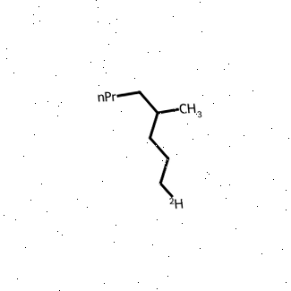 [2H]CCCC(C)CCCC